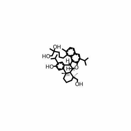 Cc1ccc2cc(C(C)C)c3c(c2c1CCCC(C)(O)CO)[C@H]1c2cc(C(C)C)c(O)cc2[C@@]2(C)CCC[C@](C)(CO)C2[C@H]1O3